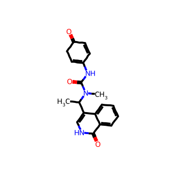 CC(c1c[nH]c(=O)c2ccccc12)N(C)C(=O)NC1=CCC(=O)C=C1